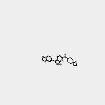 c1nc2cc(-c3c[nH]c4nc(NC5CCC6(CCO6)CC5)ncc34)ccn2n1